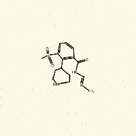 CS(=O)(=O)c1cccc(C(=O)NC=NN)c1C1CCNCC1